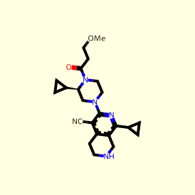 COCCC(=O)N1CCN(c2nc(C3CC3)c3c(c2C#N)CCNC3)C[C@H]1C1CC1